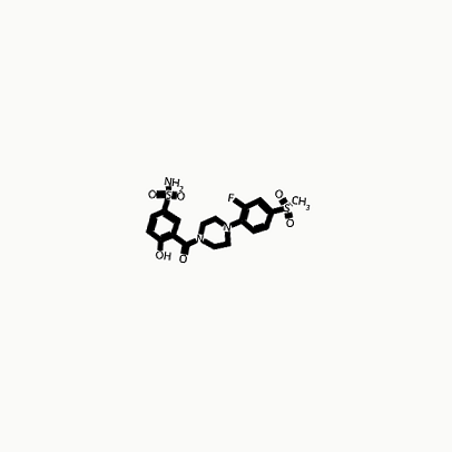 CS(=O)(=O)c1ccc(N2CCN(C(=O)c3cc(S(N)(=O)=O)ccc3O)CC2)c(F)c1